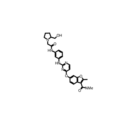 CNC(=O)c1c(C)oc2cc(Oc3ccnc(Nc4cccc(NC(=O)CN5CCCC5CO)c4)n3)ccc12